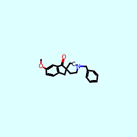 COc1ccc2c(c1)C(=O)C1(CCN(Cc3ccccc3)CC1)C2